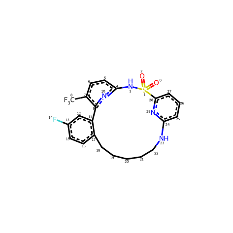 O=S1(=O)Nc2ccc(C(F)(F)F)c(n2)-c2cc(F)ccc2CCCCCNc2cccc1n2